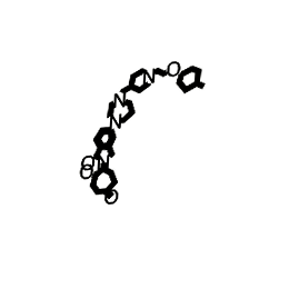 CC1CCC(OCCN2CCC(CN3CCCN(c4ccc5c(c4)CN(C4CCC(=O)CCC4=O)C5=O)CC3)CC2)CC1